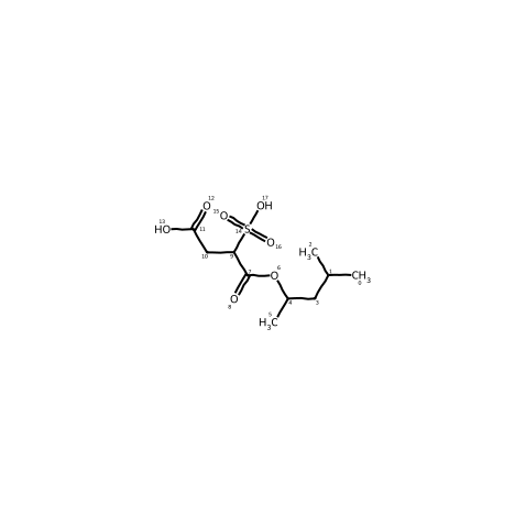 CC(C)CC(C)OC(=O)C(CC(=O)O)S(=O)(=O)O